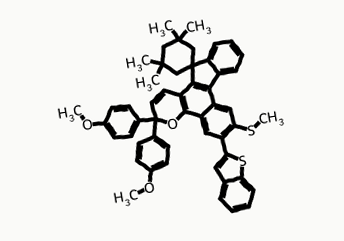 COc1ccc(C2(c3ccc(OC)cc3)C=Cc3c4c(c5cc(SC)c(-c6cc7ccccc7s6)cc5c3O2)-c2ccccc2C42CC(C)(C)CC(C)(C)C2)cc1